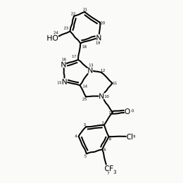 O=C(c1cccc(C(F)(F)F)c1Cl)N1CCn2c(nnc2-c2ncccc2O)C1